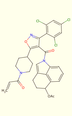 C=CC(=O)N1CCC(c2onc(-c3c(Cl)cc(Cl)cc3Cl)c2C(=O)n2cc3c4c(cccc42)C(OC(C)=O)CC3)CC1